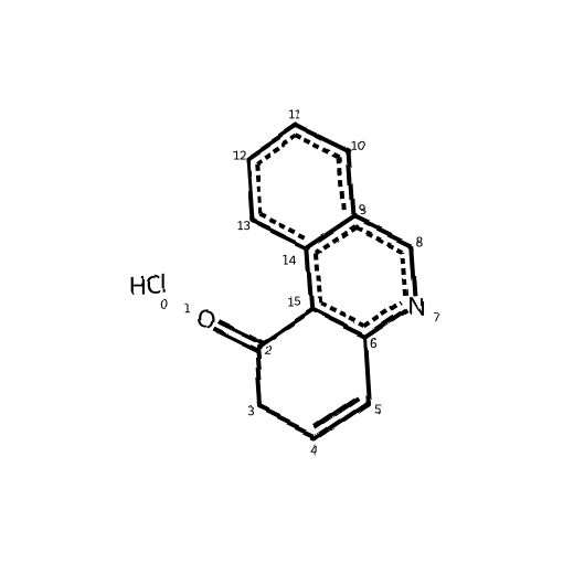 Cl.O=C1CC=Cc2ncc3ccccc3c21